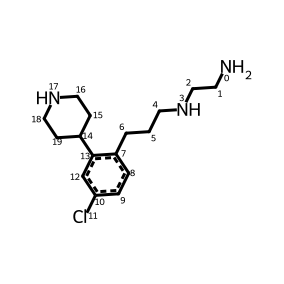 NCCNCCCc1ccc(Cl)cc1C1CCNCC1